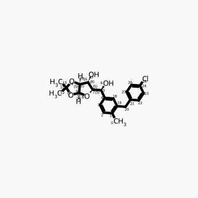 Cc1ccc([C@H](O)[C@@H]2O[C@H]3OC(C)(C)O[C@H]3[C@@H]2O)cc1Cc1ccc(Cl)cc1